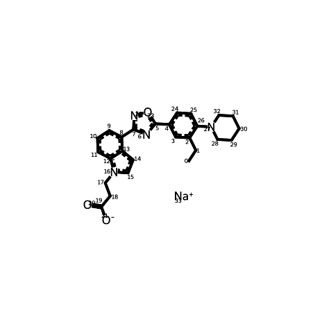 CCc1cc(-c2nc(-c3cccc4c3ccn4CCC(=O)[O-])no2)ccc1N1CCCCC1.[Na+]